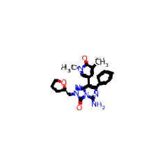 Cc1cc(-c2c(-c3ccccc3)nc(N)n3c(=O)n(C[C@H]4CCCO4)nc23)cn(C)c1=O